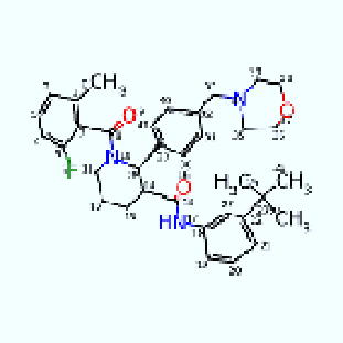 Cc1cccc(F)c1C(=O)N1CCCC(C(=O)Nc2cccc(C(C)(C)C)c2)[C@@H]1c1ccc(CN2CCOCC2)cc1